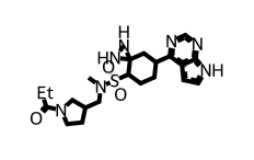 CCC(=O)N1CCC(CN(C)S(=O)(=O)C2CCC(c3ncnc4[nH]ccc34)CC23NN3)C1